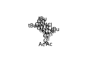 CC(=O)C(OC[C@@H]1C[C@@H](O[Si](C)(C)C(C)(C)C)[C@H](n2cnc3c(N(C(=O)OC(C)(C)C)C(=O)OC(C)(C)C)nc(Cl)nc32)O1)C(C)=O